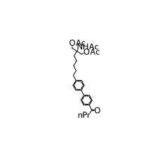 CCCC(=O)c1ccc(-c2ccc(CCCCCC(COC(C)=O)(COC(C)=O)NC(C)=O)cc2)cc1